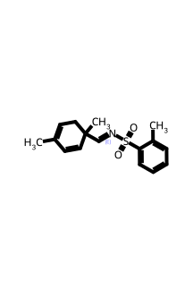 CC1=CCC(C)(/C=N/S(=O)(=O)c2ccccc2C)C=C1